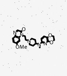 COc1ccc2ncc(=O)n(CCN3CCC(N(C)c4ccc5c(n4)OCCO5)CC3)c2c1